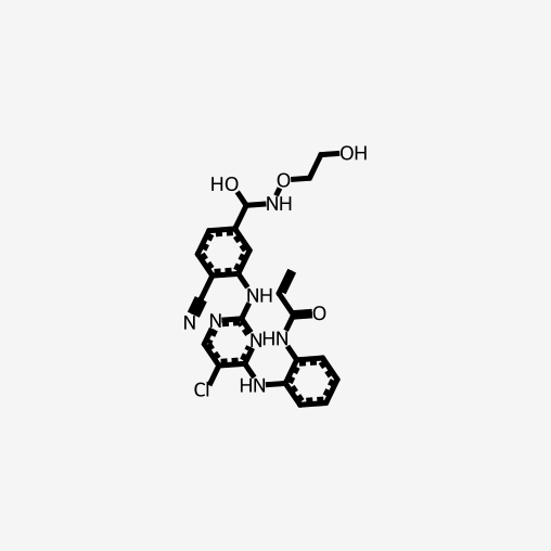 C=CC(=O)Nc1ccccc1Nc1nc(Nc2cc(C(O)NOCCO)ccc2C#N)ncc1Cl